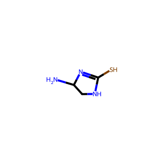 NC1CNC(S)=N1